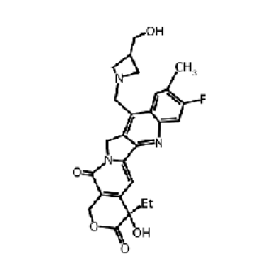 CC[C@@]1(O)C(=O)OCc2c1cc1n(c2=O)Cc2c-1nc1cc(F)c(C)cc1c2CN1CC(CO)C1